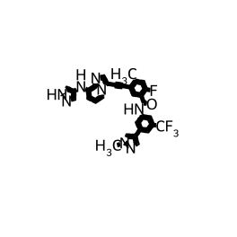 Cc1cc(F)c(C(=O)Nc2cc(-c3cnn(C)c3)cc(C(F)(F)F)c2)cc1C#Cc1cnc2c(Nc3cn[nH]c3)cccn12